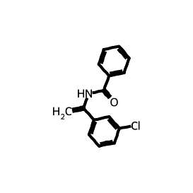 C=C(NC(=O)c1ccccc1)c1cccc(Cl)c1